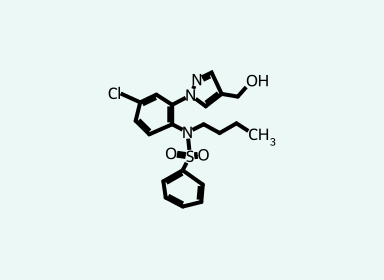 CCCCN(c1ccc(Cl)cc1-n1cc(CO)cn1)S(=O)(=O)c1ccccc1